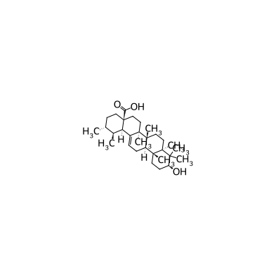 C[C@H]1[C@H](C)CC[C@]2(C(=O)O)CC[C@]3(C)C(=CC[C@@H]4[C@@]5(C)CC[C@H](O)C(C)(C)[C@]5(C)CC[C@]43C)[C@@H]12